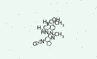 Cc1nc(N[C@H](C)c2cccc(C(C)(C)O)c2F)c2cc(N3CC4(COC4)C3)c3c(c2n1)CCC3